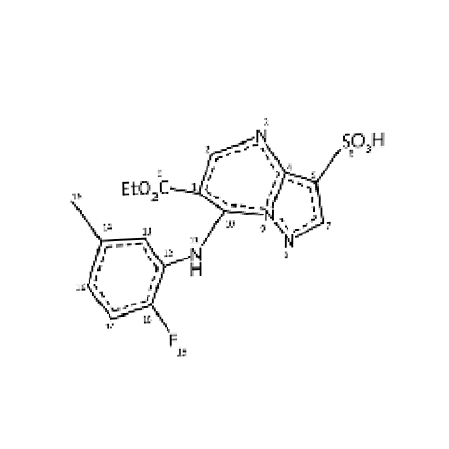 CCOC(=O)c1cnc2c(S(=O)(=O)O)cnn2c1Nc1cc(C)ccc1F